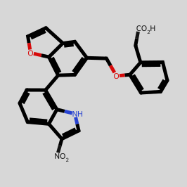 O=C(O)Cc1ccccc1OCc1cc(-c2cccc3c([N+](=O)[O-])c[nH]c23)c2occc2c1